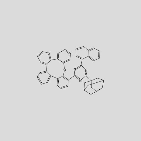 c1ccc2c(-c3nc(-c4cccc5c4oc4ccccc4c4ccccc4c4ccccc54)nc(C45CC6CC(CC(C6)C4)C5)n3)cccc2c1